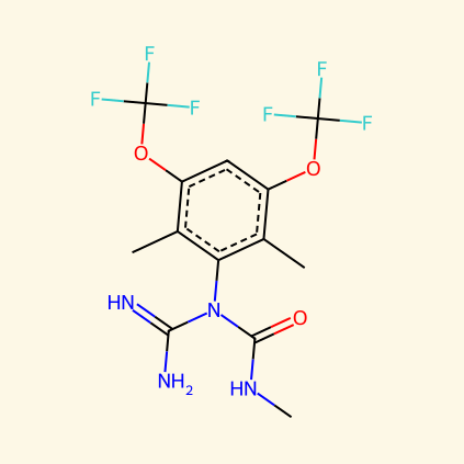 CNC(=O)N(C(=N)N)c1c(C)c(OC(F)(F)F)cc(OC(F)(F)F)c1C